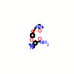 CN1CCN(CCOc2ccc(Oc3cc(C(N)=O)cc4cnn(C)c34)cc2)C1=O